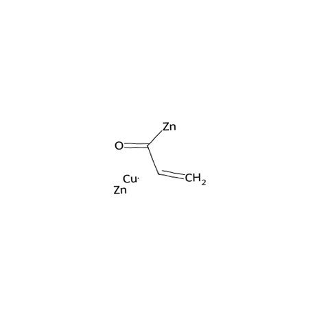 C=C[C](=O)[Zn].[Cu].[Zn]